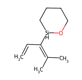 C=CC(=C(C)C)[SiH]1CCCCO1